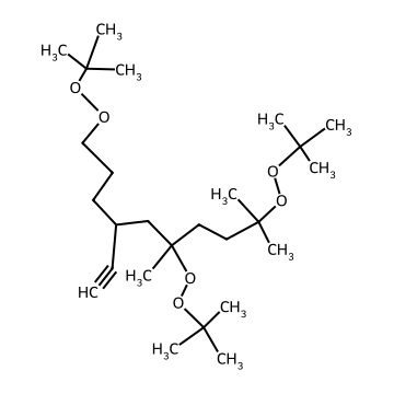 C#CC(CCCOOC(C)(C)C)CC(C)(CCC(C)(C)OOC(C)(C)C)OOC(C)(C)C